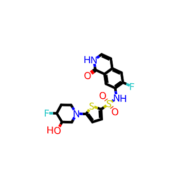 O=c1[nH]ccc2cc(F)c(NS(=O)(=O)c3ccc(N4CCC(F)C(O)C4)s3)cc12